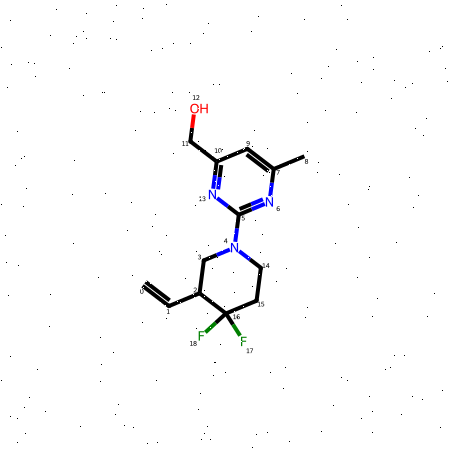 C=CC1CN(c2nc(C)cc(CO)n2)CCC1(F)F